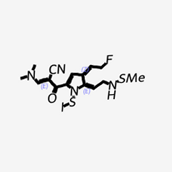 CSNC/C=c1\c(=C/CF)cc(C(=O)/C(C#N)=C/N(C)C)n1SI